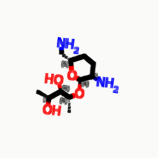 C[C@H](O)[C@@H](O)[C@@H](C)O[C@H]1O[C@H](CN)CC[C@H]1N